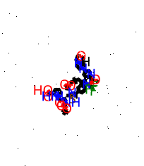 CO[C@@H](C)c1ncc(N2CCN3CCOC[C@@H]3C2)cc1-c1c(CC(C)(C)COC(C)=O)c2cc(-c3csc(C[C@H](NC(=O)OC(C)(C)C)C(=O)N4CCC[C@@H](C(=O)O)N4)n3)ccc2n1CC(F)(F)F